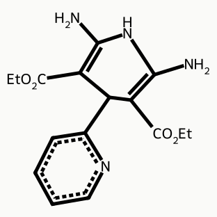 CCOC(=O)C1=C(N)NC(N)=C(C(=O)OCC)C1c1ccccn1